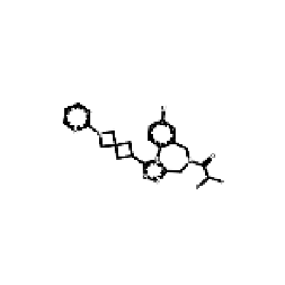 O=C(C(F)F)N1Cc2cc(Cl)ccc2-n2c(nnc2C2CC3(C2)CN(c2ccccn2)C3)C1